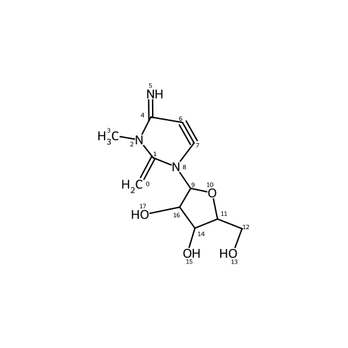 C=C1N(C)C(=N)C#CN1C1OC(CO)C(O)C1O